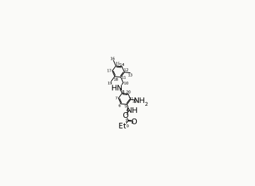 CCC(=O)ONc1ccc(NCc2c(C)cc(C)cc2C)cc1N